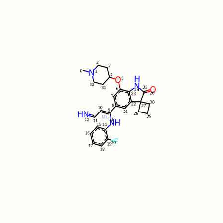 CN1CCC(Oc2cc(/C(=C/C=N)Nc3ccccc3F)cc3c2NC(=O)C32CCC2)CC1